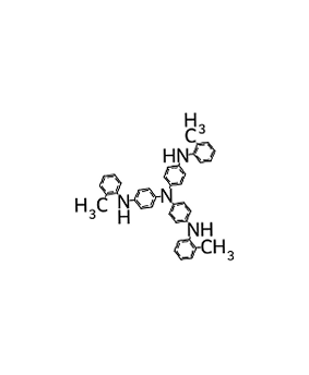 Cc1ccccc1Nc1ccc(N(c2ccc(Nc3ccccc3C)cc2)c2ccc(Nc3ccccc3C)cc2)cc1